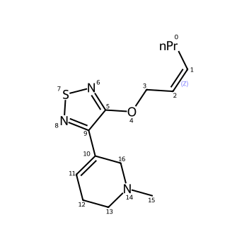 CCC/C=C\COc1nsnc1C1=CCCN(C)C1